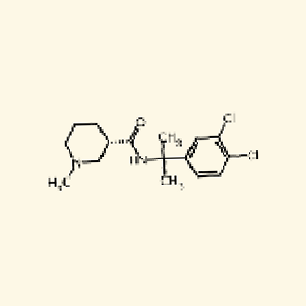 CN1CCC[C@H](C(=O)NC(C)(C)c2ccc(Cl)c(Cl)c2)C1